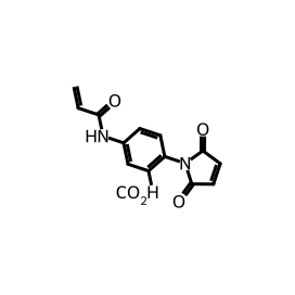 C=CC(=O)Nc1ccc(N2C(=O)C=CC2=O)c(C(=O)O)c1